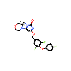 C[C@@]12COCCN1c1cc(OCc3cc(F)c(Oc4ccc(F)cc4)c(F)c3)nc(=O)n1C2